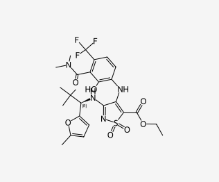 CCOC(=O)C1=C(Nc2ccc(C(F)(F)F)c(C(=O)N(C)C)c2O)C(N[C@@H](c2ccc(C)o2)C(C)(C)C)=NS1(=O)=O